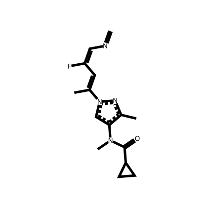 C=N/C=C(F)\C=C(/C)n1cc(N(C)C(=O)C2CC2)c(C)n1